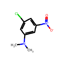 CN(C)c1cc(Cl)cc([N+](=O)[O-])c1